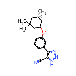 C[C@@H]1CC(Oc2cccc(-c3nn[nH]c3C#N)c2)CC(C)(C)C1